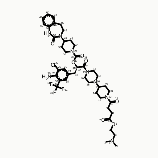 CN(C)CCOC(=O)CCC(=O)N1CCC(N2CCN(C(=O)[C@@H](Cc3cc(Cl)c(N)c(C(F)(F)F)c3)OC(=O)N3CCC(N4CCc5ccccc5NC4=O)CC3)CC2)CC1